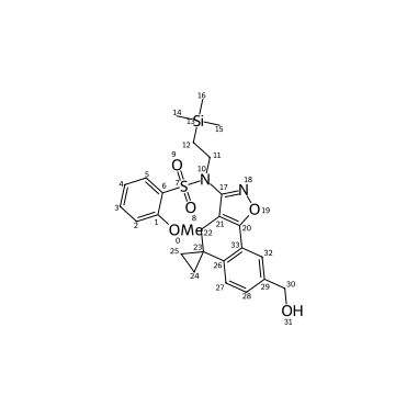 COc1ccccc1S(=O)(=O)N(CC[Si](C)(C)C)c1noc2c1CC1(CC1)c1ccc(CO)cc1-2